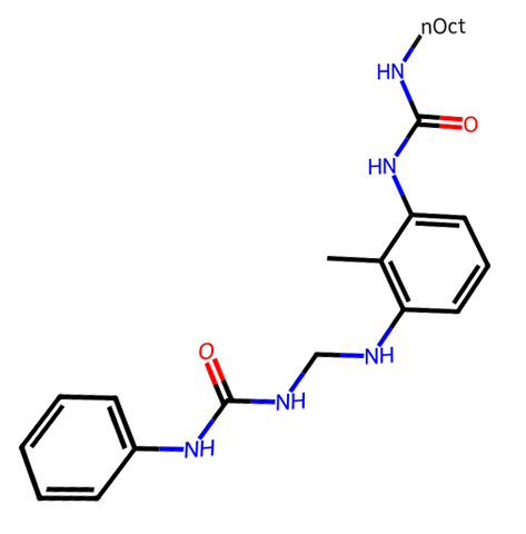 CCCCCCCCNC(=O)Nc1cccc(NCNC(=O)Nc2ccccc2)c1C